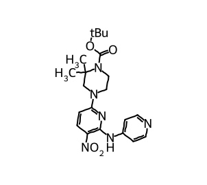 CC(C)(C)OC(=O)N1CCN(c2ccc([N+](=O)[O-])c(Nc3ccncc3)n2)CC1(C)C